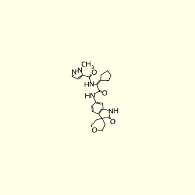 Cn1nccc1C(=O)NC(C(=O)Nc1ccc2c(c1)NC(=O)C21CCOCC1)=C1CCCC1